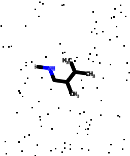 [C]NCC(C)C(C)C